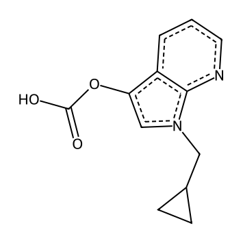 O=C(O)Oc1cn(CC2CC2)c2ncccc12